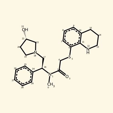 CN(C(=O)CSc1cccc2c1NCCC2)[C@H](CN1CC[C@H](O)C1)c1ccccc1